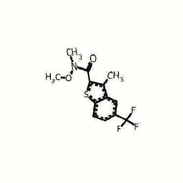 CON(C)C(=O)c1sc2ccc(C(F)(F)F)cc2c1C